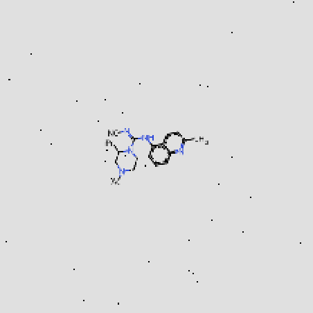 CC(=O)N1CCN(/C(=N\C#N)Nc2cccc3nc(C)ccc23)C(C(C)C)C1